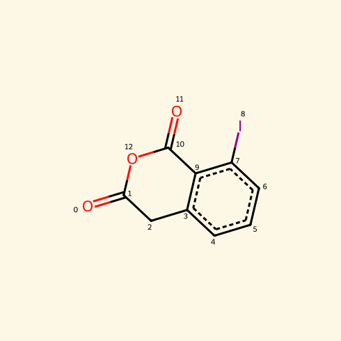 O=C1Cc2cccc(I)c2C(=O)O1